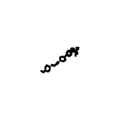 CC[C@H]1CC[C@H](C=CC#C[C@H]2CC[C@H](c3ccc(OC(F)F)cc3)CC2)CC1